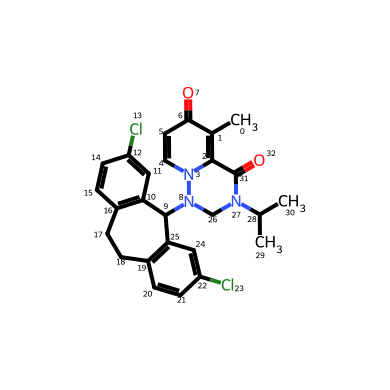 Cc1c2n(ccc1=O)N(C1c3cc(Cl)ccc3CCc3ccc(Cl)cc31)CN(C(C)C)C2=O